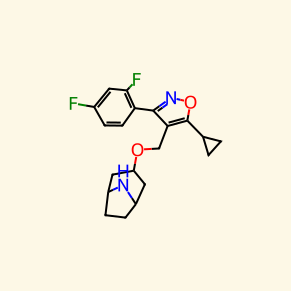 Fc1ccc(-c2noc(C3CC3)c2COC2CC3CCC(C2)N3)c(F)c1